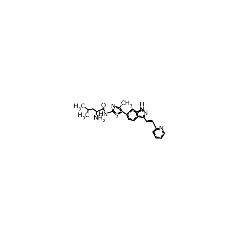 Cc1nc(NC(=O)C(N)CC(C)C)sc1-c1ccc2c(C=Cc3ccccn3)n[nH]c2c1